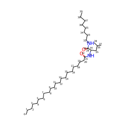 CCCCCCCCCCCCCCCCCCCCCC(=O)NC(CC(C)C)C(=O)NCCCCCCCC